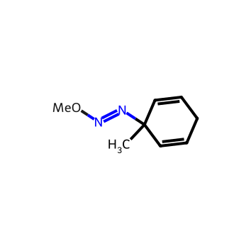 CO/N=N/C1(C)C=CCC=C1